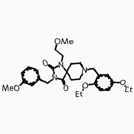 CCOc1ccc(OCC)c(CN2CCC3(CC2)C(=O)N(Cc2cccc(OC)c2)C(=O)N3CCOC)c1